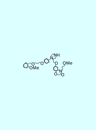 COCCCN1C(=O)COc2ccc(OCC3CNCCN3c3ccc(OCCCOCc4ccccc4OC)cc3)cc21